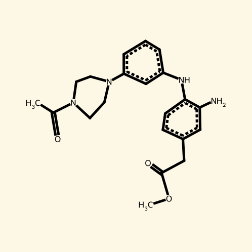 COC(=O)Cc1ccc(Nc2cccc(N3CCN(C(C)=O)CC3)c2)c(N)c1